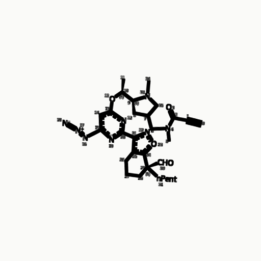 C#CC(=O)N(C)CC1C[C@@H]([C@H](C)Oc2cc(N=[N+]=[N-])nc(-c3noc4c3CCC[C@@]4(C=O)CCCCC)n2)N(C)C1